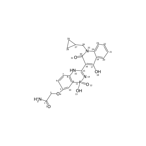 NC(=O)COc1ccc2c(c1)P(=O)(O)N=C(c1c(O)c3ccccc3n(CC3CC3)c1=O)N2